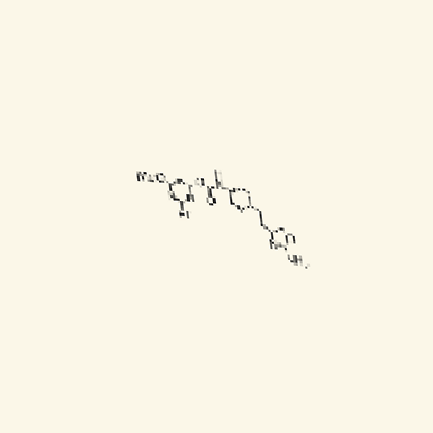 CCc1nc(OC)cc(OC(=O)Nc2ccc(CC[C@H]3COC(N)=N3)cc2)n1